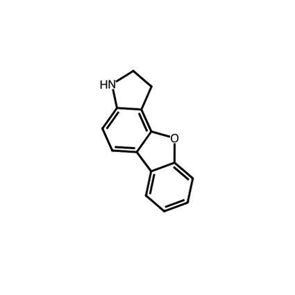 c1ccc2c(c1)oc1c3c(ccc12)NCC3